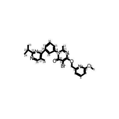 COc1cccc(COc2nc(C)n(-c3cccc(-c4nc(C(C)C)ncc4C)c3)c(=O)c2Br)n1